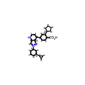 O=C(O)c1ccc(-c2ccnc3cn(-c4cccc(C5CC5)c4)nc23)cc1C1CCCC1